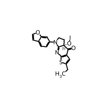 CCc1cc2c(s1)N=C1N(c3ccc4ccoc4c3)CC[C@@]1(OI)C2=O